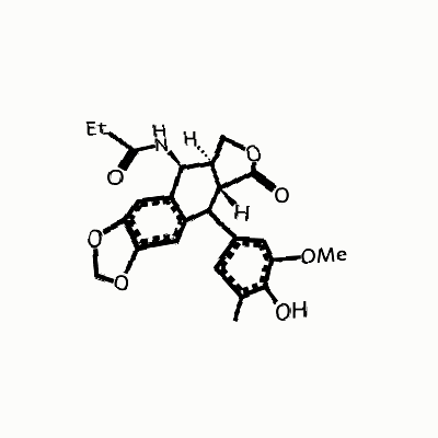 CCC(=O)N[C@@H]1c2cc3c(cc2C(c2cc(C)c(O)c(OC)c2)[C@H]2C(=O)OC[C@H]12)OCO3